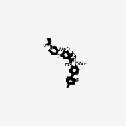 C=CC(=O)N1CCC(Oc2cc3c(Nc4cc(-c5ccc(C)cc5F)ccc4OC)ncnc3cc2OC)CC1